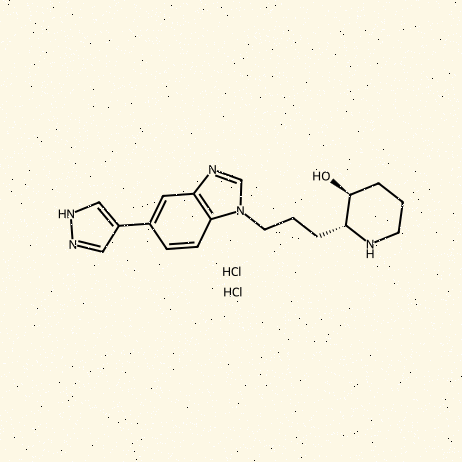 Cl.Cl.O[C@H]1CCCN[C@@H]1CCCn1cnc2cc(-c3cn[nH]c3)ccc21